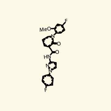 COc1cc(F)ccc1-n1cccc(C(=O)Nc2ccn(-c3ccc(F)cc3)n2)c1=O